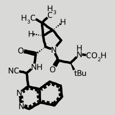 CC(C)(C)[C@H](NC(=O)O)C(=O)N1C[C@H]2[C@@H]([C@H]1C(=O)NC(C#N)c1nncc3ccccc13)C2(C)C